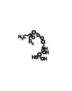 CCCCN(C(C)=O)c1cccc(COCCOc2ccc(CCNC[C@@H](O)c3ccc(O)c(CO)c3)cc2)c1